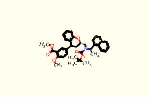 COC(=O)c1cc(C2C[C@H](CN(C(=O)OC(C)(C)C)[C@H](C)c3cccc4ccccc34)Oc3ccccc32)ccc1OC